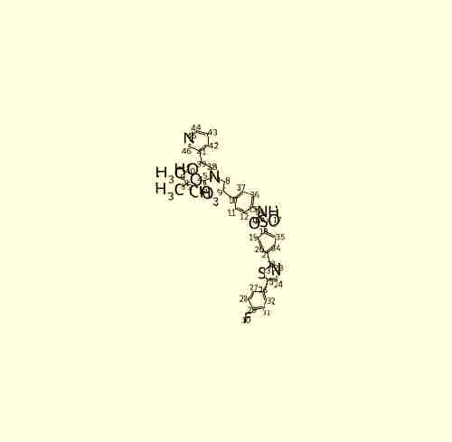 CC(C)(C)OC(=O)N(CCc1ccc(NS(=O)(=O)c2ccc(-c3ncc(-c4ccc(F)cc4)s3)cc2)cc1)CC(O)c1cccnc1